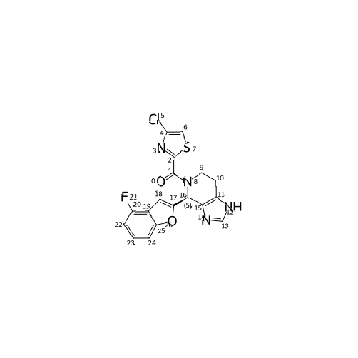 O=C(c1nc(Cl)cs1)N1CCc2[nH]cnc2[C@H]1c1cc2c(F)cccc2o1